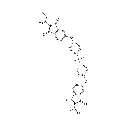 CCC(=O)N1C(=O)c2ccc(Oc3ccc(C(C)(C)c4ccc(Oc5ccc6c(c5)C(=O)N(C(C)=O)C6=O)cc4)cc3)cc2C1=O